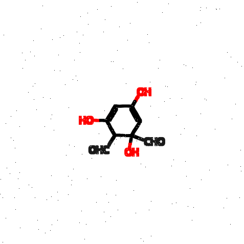 O=CC1C(O)=CC(O)=CC1(O)C=O